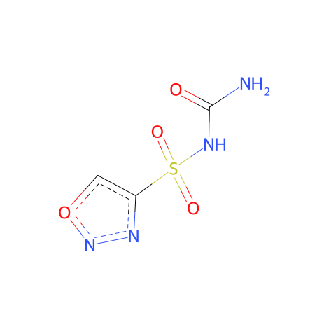 NC(=O)NS(=O)(=O)c1conn1